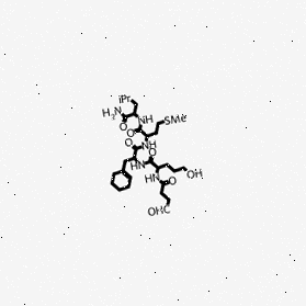 CSCCC(NC(=O)C(CC1=CCCCC1)NC(=O)C(CCCO)NC(=O)CCC=O)C(=O)NC(CC(C)C)C(N)=O